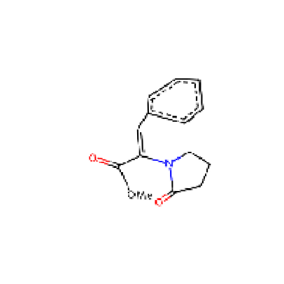 COC(=O)/C(=C/c1ccccc1)N1CCCC1=O